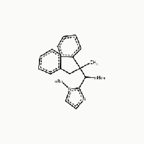 CCCCCCC(c1nccn1CCCC)C(C)(Cc1ccccc1)c1ccccc1